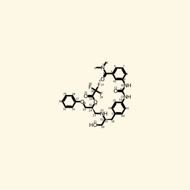 CN(C)C(=O)c1cccc(NC(=O)Nc2ccc(C[C@@H](CO)NC[C@@H](COc3ccccc3)OC(=O)C(F)(F)F)cc2)c1